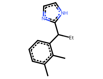 CCC(c1ncc[nH]1)c1cccc(C)c1C